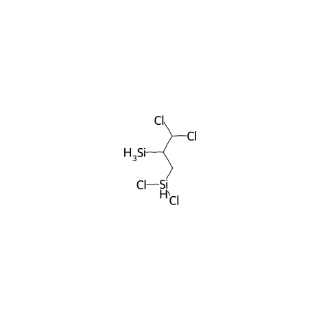 [SiH3]C(C[SiH](Cl)Cl)C(Cl)Cl